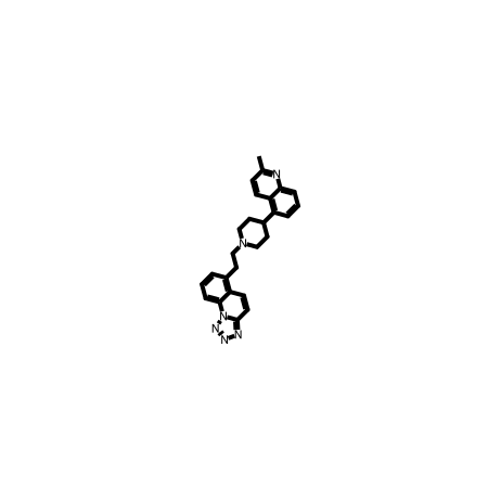 Cc1ccc2c(C3CCN(CCc4cccc5c4ccc4nnnn45)CC3)cccc2n1